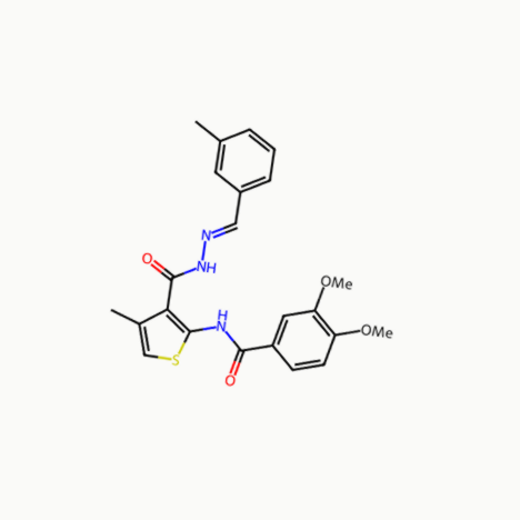 COc1ccc(C(=O)Nc2scc(C)c2C(=O)NN=Cc2cccc(C)c2)cc1OC